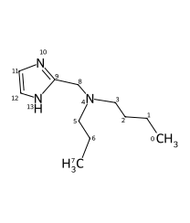 CCCCN(CCC)Cc1ncc[nH]1